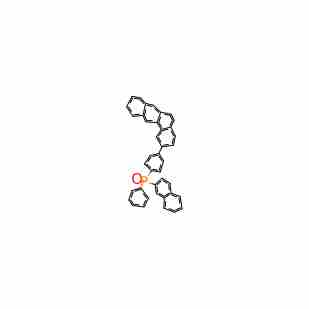 O=P(c1ccccc1)(c1ccc(-c2ccc3ccc4cc5ccccc5cc4c3c2)cc1)c1ccc2ccccc2c1